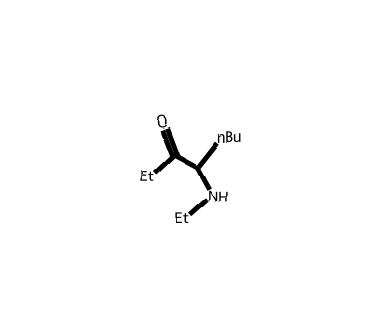 CCCCC(NCC)C(=O)CC